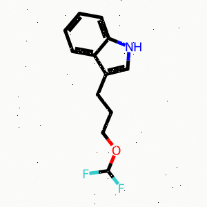 FC(F)OCCCc1c[nH]c2ccccc12